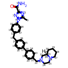 Cc1nc(C(N)=O)nn1-c1ccc(Cc2ccc(-c3ccc(CN4CCN5CCCC[C@@H]5C4)cc3)cc2)cc1